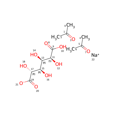 CC(C)=O.CC(C)=O.O=C(O)[C@@H](O)[C@H](O)[C@@H](O)[C@@H](O)C(=O)[O-].[Na+]